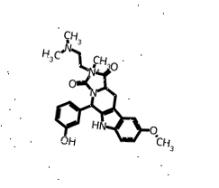 COc1ccc2[nH]c3c(c2c1)CC1C(=O)[N+](C)(CCN(C)C)C(=O)N1C3c1cccc(O)c1